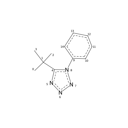 CC(C)(C)c1nnnn1-c1ccccc1